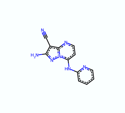 N#Cc1c(N)nn2c(Nc3ccccn3)ccnc12